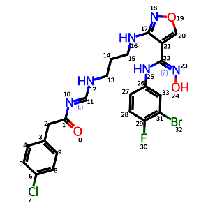 O=C(Cc1ccc(Cl)cc1)/N=C/NCCCNc1nocc1/C(=N/O)Nc1ccc(F)c(Br)c1